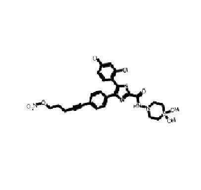 O=C(NN1CCS(O)(O)CC1)c1nc(-c2ccc(C#CCCCO[N+](=O)[O-])cc2)c(-c2ccc(Cl)cc2Cl)s1